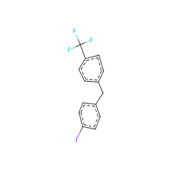 FC(F)(F)c1ccc(Cc2ccc(I)cc2)cc1